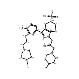 CC1CCN(C[C@@H](O)Cn2nc(-c3ccc(C(F)(F)F)c(SCCN4CCC(F)CC4)c3)c3c2CCN(S(C)(=O)=O)C3)CC1